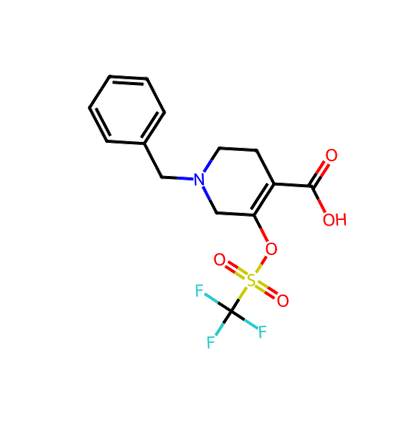 O=C(O)C1=C(OS(=O)(=O)C(F)(F)F)CN(Cc2ccccc2)CC1